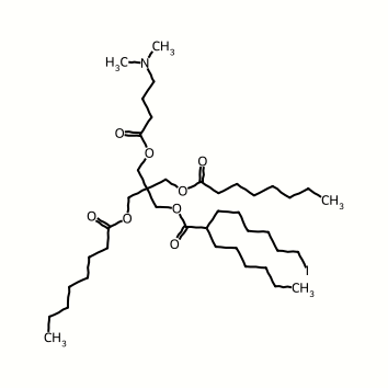 CCCCCCCC(=O)OCC(COC(=O)CCCCCCC)(COC(=O)CCCN(C)C)COC(=O)C(CCCCCC)CCCCCCI